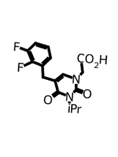 CC(C)n1c(=O)c(Cc2cccc(F)c2F)cn(CC(=O)O)c1=O